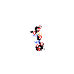 CCOC(=[SH]NC(=O)CCNC(=O)[C@@H]1OC(C)(C)OCC1(C)C)C1CCC(=O)O1